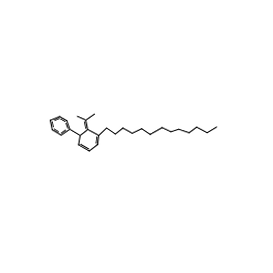 CCCCCCCCCCCCCC1=CC=CC(c2ccccc2)C1=C(C)C